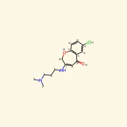 CN(C)CCCNC1=CC(=O)c2cc(Cl)ccc2OC1